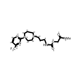 CNC(=O)COC(=O)NCCCN1CCCN(c2nccc(C(F)(F)F)n2)CC1